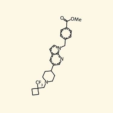 COC(=O)c1ccc(Cn2ccc3cc(C4CCN(CC5(C(F)(F)F)CCC5)CC4)cnc32)cc1